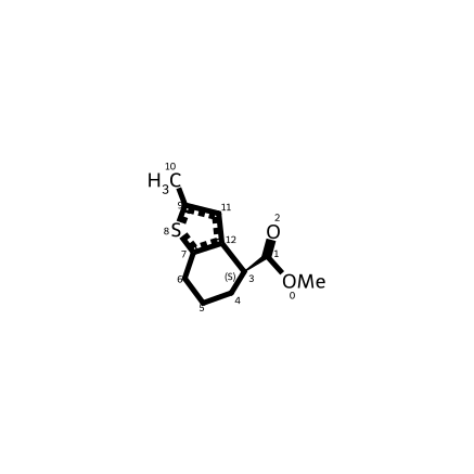 COC(=O)[C@H]1CCCc2sc(C)cc21